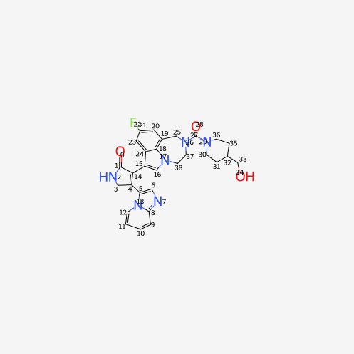 O=C1NCC(c2cnc3ccccn23)=C1c1cn2c3c(cc(F)cc13)CN(C(=O)N1CCC(CO)CC1)CC2